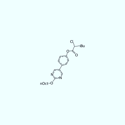 CCCCCCCCOc1ncc(-c2ccc(OC(=O)C(Cl)C(C)CC)cc2)cn1